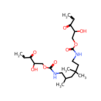 C=CC(=O)C(O)COC(=O)NCCC(C)(C)CC(C)CNC(=O)OCC(O)C(=O)C=C